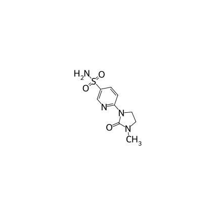 CN1CCN(c2ccc(S(N)(=O)=O)cn2)C1=O